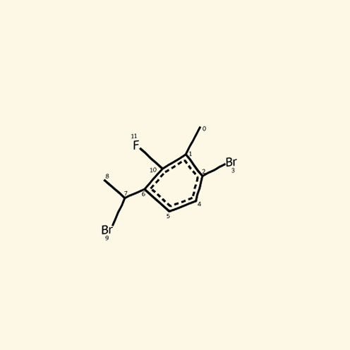 Cc1c(Br)ccc(C(C)Br)c1F